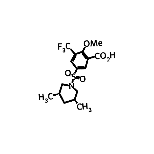 COc1c(C(=O)O)cc(S(=O)(=O)N2C[C@H](C)C[C@H](C)C2)cc1C(F)(F)F